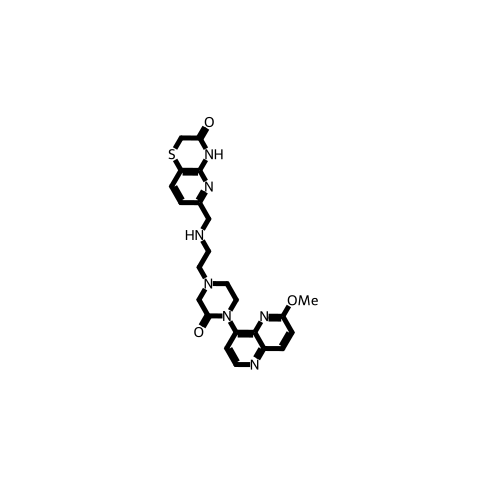 COc1ccc2nccc(N3CCN(CCNCc4ccc5c(n4)NC(=O)CS5)CC3=O)c2n1